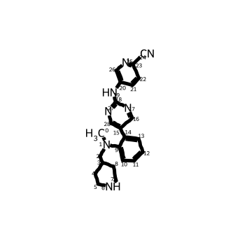 CN(CC1CCNCC1)c1ccccc1-c1cnc(Nc2ccc(C#N)nc2)nc1